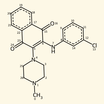 CN1CCN(C2=C(Nc3cccc(Cl)c3)C(=O)c3ccccc3C2=O)CC1